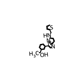 CC(O)c1cccc(-c2cnc3ccc(NCc4cccs4)nn23)c1